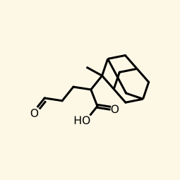 CC1(C(CCC=O)C(=O)O)C2CC3CC(C2)CC1C3